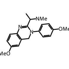 CNC(C)C1=Nc2ccc(OC)cc2CN1c1ccc(OC)cc1